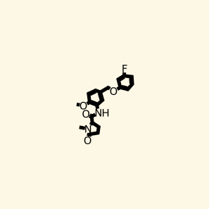 COc1ccc(COc2cccc(F)c2)cc1NC(=O)C1CCC(=O)N1C